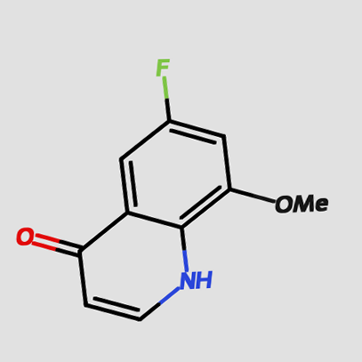 COc1cc(F)cc2c(=O)cc[nH]c12